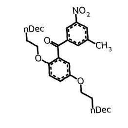 CCCCCCCCCCCCOc1ccc(OCCCCCCCCCCCC)c(C(=O)c2cc(C)cc([N+](=O)[O-])c2)c1